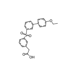 CCOc1ccc(-c2cccc(S(=O)(=O)c3cccc(CC(=O)O)c3)c2)cc1